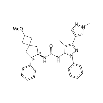 COC1CC2(C1)C[C@@H](NC(=O)Nc1c(C)c(-c3cnn(C)c3)nn1-c1ccccc1)[C@H](c1ccccc1)C2